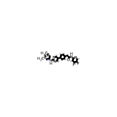 C=C=C/C(=C\N(C)C)Nc1ncc(-c2ccc(CC(=O)Nc3cc(F)c(F)cn3)cc2)cn1